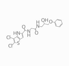 O=C(CNC(=O)c1cc2sc(Cl)c(Cl)c2[nH]1)NCC(O)COc1ccccc1